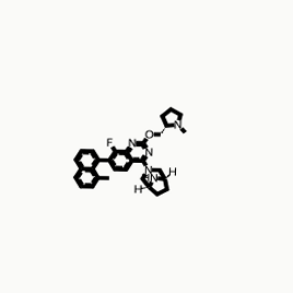 Cc1cccc2cccc(-c3ccc4c(N5C[C@H]6CC[C@@H](C5)N6)nc(OC[C@@H]5CCCN5C)nc4c3F)c12